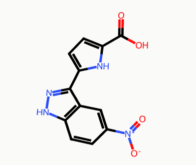 O=C(O)c1ccc(-c2n[nH]c3ccc([N+](=O)[O-])cc23)[nH]1